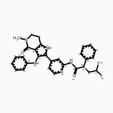 CN1CCc2[nH]c(-c3ccnc(NC(=O)[C@H](CC(F)F)c4ccccc4)c3)c(Nc3ccccc3)c2C1=O